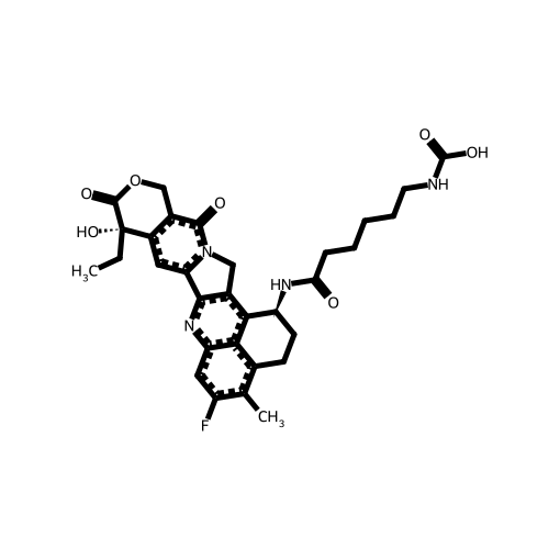 CC[C@@]1(O)C(=O)OCc2c1cc1n(c2=O)Cc2c-1nc1cc(F)c(C)c3c1c2[C@@H](NC(=O)CCCCCNC(=O)O)CC3